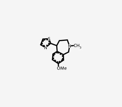 COc1ccc2c(c1)CN(C)CCC2c1nccs1